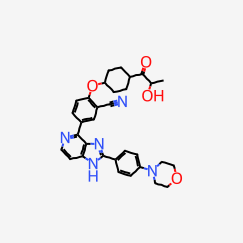 CC(O)C(=O)C1CCC(Oc2ccc(-c3nccc4[nH]c(-c5ccc(N6CCOCC6)cc5)nc34)cc2C#N)CC1